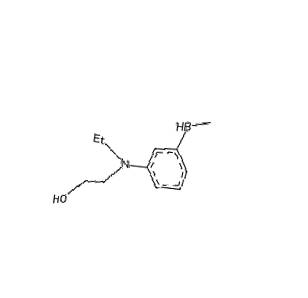 CBc1cccc(N(CC)CCO)c1